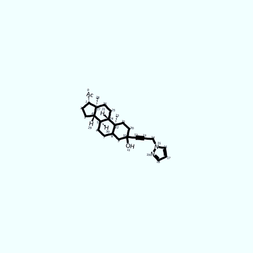 CC(=O)[C@H]1CC[C@H]2[C@@H]3CCC4CC(O)(C#CCn5cccn5)CC[C@]4(C)[C@H]3CC[C@]12C